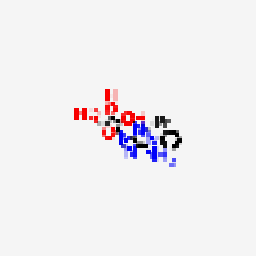 CC(C)[C@H]1N=c2c(ncn2[C@@H]2O[C@H](CO)[C@@H](O)[C@H]2O)=C(N)N1c1ccccc1